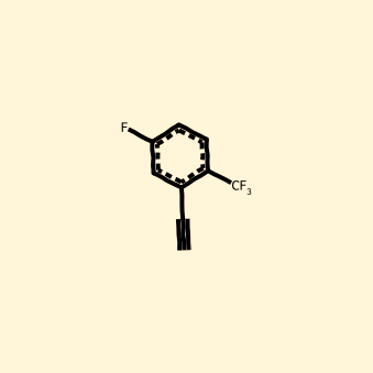 C#Cc1cc(F)ccc1C(F)(F)F